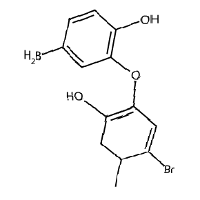 Bc1ccc(O)c(OC2=C(O)CC(C)C(Br)=C2)c1